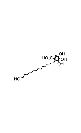 O=C(O)c1cc(O)c(O)c(O)c1CCCCCCCCCCCCCCCCO